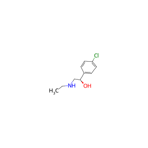 CCNC[C@H](O)c1ccc(Cl)cc1